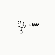 COC(C)N1COC(C)C1=O